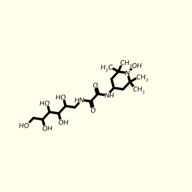 CC1(C)CC(NC(=O)C(=O)NCC(O)C(O)C(O)C(O)CO)CC(C)(C)N1O